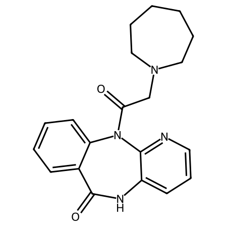 O=C1Nc2cccnc2N(C(=O)CN2CCCCCC2)c2ccccc21